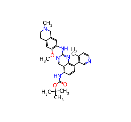 COc1cc2c(cc1Nc1ncc3c(NC(=O)OC(C)(C)C)ccc(-c4cnccc4C)c3n1)CN(C)CC2